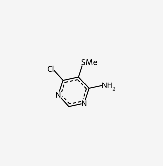 CSc1c(N)ncnc1Cl